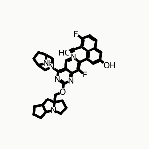 C#Cc1c(F)ccc2cc(O)cc(-c3ncc4c(N5CC6CCC(C5)N6)nc(OCC56CCCN5C5CCCC5C6)nc4c3F)c12